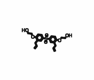 C=CCc1cc(S(=O)(=O)c2ccc(OCCO)c(CC=C)c2)ccc1OCCO